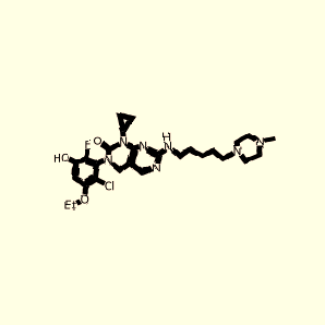 CCOc1cc(O)c(F)c(N2Cc3cnc(NCCCCCN4CCN(C)CC4)nc3N(C3CC3)C2=O)c1Cl